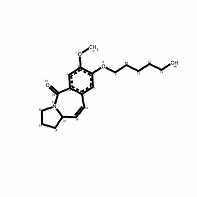 COc1cc2c(cc1OCCCCCO)C=CC1CCCN1C2=O